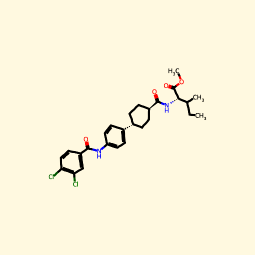 CCC(C)[C@H](NC(=O)[C@H]1CC[C@H](c2ccc(NC(=O)c3ccc(Cl)c(Cl)c3)cc2)CC1)C(=O)OC